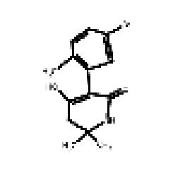 Cc1ccc(Br)cc1C1=C(O)CC(C)(C)NC1=O